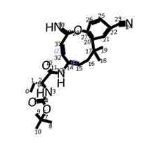 CC[C@@H](NC(=O)OC(C)(C)C)C(=O)NC1=C/CC(C)(C)c2cc(C#N)ccc2OC(=N)/C=C\1